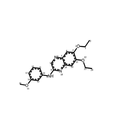 CCOc1cc2ncc(Nc3cccc(OC)c3)nc2cc1OCC